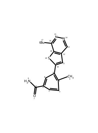 Cc1ccc(C(N)=O)cc1-c1cc2cnnc(C(C)(C)C)c2s1